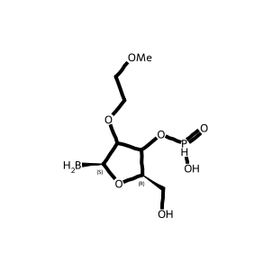 B[C@@H]1O[C@H](CO)C(O[PH](=O)O)C1OCCOC